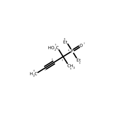 CC#CC(C)(C(=O)O)P(=O)(CC)CC